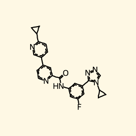 O=C(Nc1cc(F)cc(-c2nncn2C2CC2)c1)c1cc(-c2ccc(C3CC3)nc2)ccn1